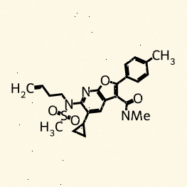 C=CCCN(c1nc2oc(-c3ccc(C)cc3)c(C(=O)NC)c2cc1C1CC1)S(C)(=O)=O